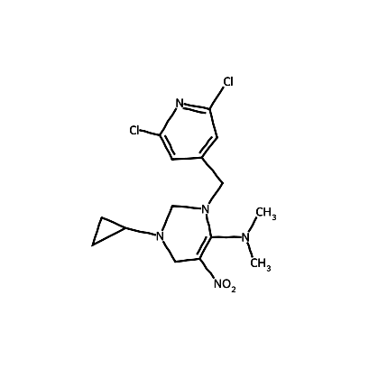 CN(C)C1=C([N+](=O)[O-])CN(C2CC2)CN1Cc1cc(Cl)nc(Cl)c1